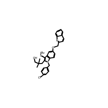 CC(C)(CO)Cc1c(SC(C)(C)C)c2cc(OCc3ccc4ccccc4n3)ccc2n1Cc1ccc(Cl)cc1